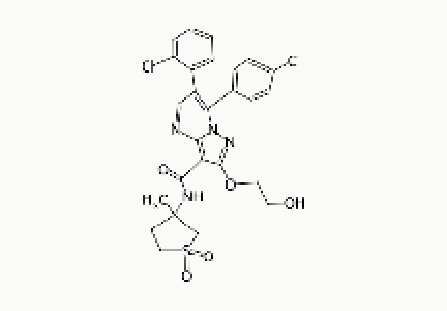 CC1(NC(=O)c2c(OCCO)nn3c(-c4ccc(Cl)cc4)c(-c4ccccc4Cl)cnc23)CCS(=O)(=O)C1